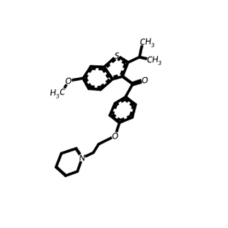 COc1ccc2c(C(=O)c3ccc(OCCN4CCCCC4)cc3)c(C(C)C)sc2c1